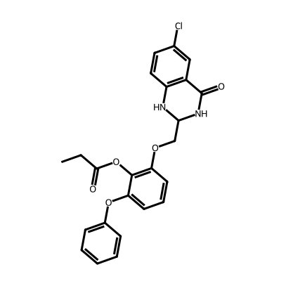 CCC(=O)Oc1c(OCC2NC(=O)c3cc(Cl)ccc3N2)cccc1Oc1ccccc1